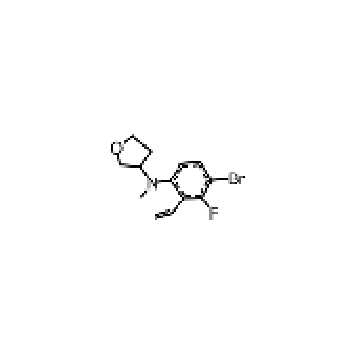 C=Cc1c(N(C)C2CCOC2)ccc(Br)c1F